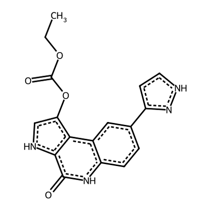 CCOC(=O)Oc1c[nH]c2c(=O)[nH]c3ccc(-c4cc[nH]n4)cc3c12